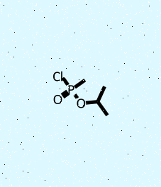 CC(C)OP(C)(=O)Cl